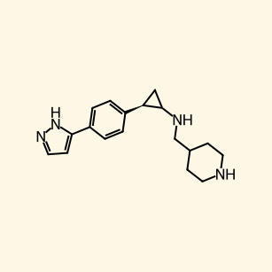 c1cc(-c2ccc([C@H]3CC3NCC3CCNCC3)cc2)[nH]n1